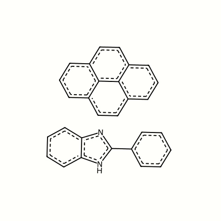 c1cc2ccc3cccc4ccc(c1)c2c34.c1ccc(-c2nc3ccccc3[nH]2)cc1